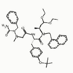 CCOC(OCC)[C@H](C)N(Cc1cccc2ccccc12)C(=O)[C@H](Cc1ccc(OC(C)(C)C)cc1)NC(=O)CN(C)N(Cc1ccccc1)C(N)=O